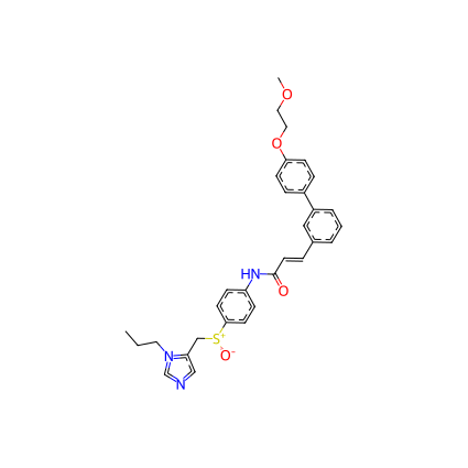 CCCn1cncc1C[S@@+]([O-])c1ccc(NC(=O)/C=C/c2cccc(-c3ccc(OCCOC)cc3)c2)cc1